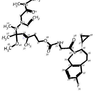 C=CN(CC(=O)N(C)C)N(C)C(C)(/C=C(\C)CCOC(=O)NCC(=O)N1Cc2ccc(F)cc2CC[C@H]1C1CC1)OC